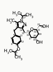 Cc1c(Cc2ccc(OC(C)C)cc2)c(C[C@H]2C[C@@H](O)C[C@@H](CO)O2)nn1C(C)C